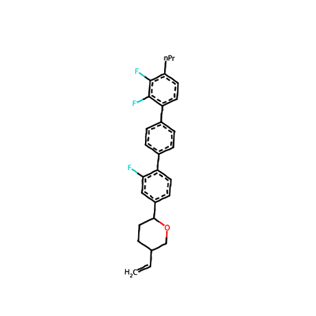 C=CC1CCC(c2ccc(-c3ccc(-c4ccc(CCC)c(F)c4F)cc3)c(F)c2)OC1